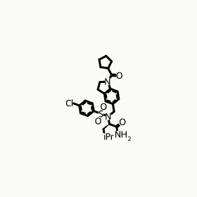 CC(C)C[C@H](C(N)=O)N(Cc1ccc2c(c1)CCN2C(=O)C1CCCC1)S(=O)(=O)c1ccc(Cl)cc1